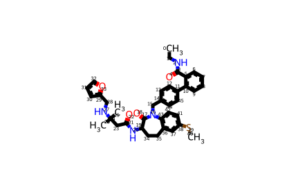 CCNC(=O)c1ccccc1-c1ccc(CN2C(=O)C(NC(=O)CC(C)(C)NCc3ccco3)CCc3cc(SC)ccc32)cc1